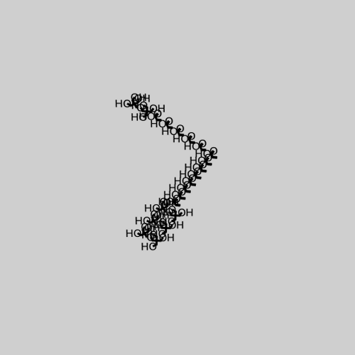 C=CC(=O)O.C=CC(=O)O.C=CC(=O)O.C=CC(=O)O.C=CC(=O)O.C=CC(=O)O.C=CC(=O)O.C=CC(=O)O.C=CC(=O)O.C=CC(=O)O.C=CC(=O)O.C=CC(=O)O.C=CC(=O)O.OCC(CO)(CO)COCC(CO)(CO)CO.OCC(CO)(CO)COCC(CO)(CO)CO.OCC(CO)(CO)COCC(CO)(CO)CO.OCC(CO)(CO)COCC(CO)(CO)CO